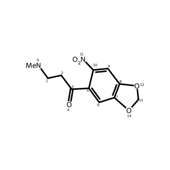 CNCCC(=O)c1cc2c(cc1[N+](=O)[O-])OCO2